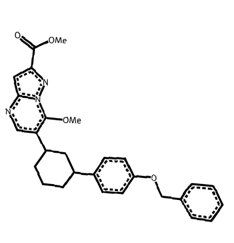 COC(=O)c1cc2ncc(C3CCCC(c4ccc(OCc5ccccc5)cc4)C3)c(OC)n2n1